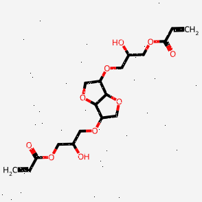 C=CC(=O)OCC(O)COC1COC2C(OCC(O)COC(=O)C=C)COC12